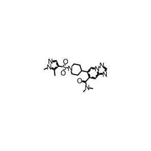 Cc1c(S(=O)(=O)N2CCC(c3cn4ncnc4cc3C(=O)N(C)C)CC2)cnn1C